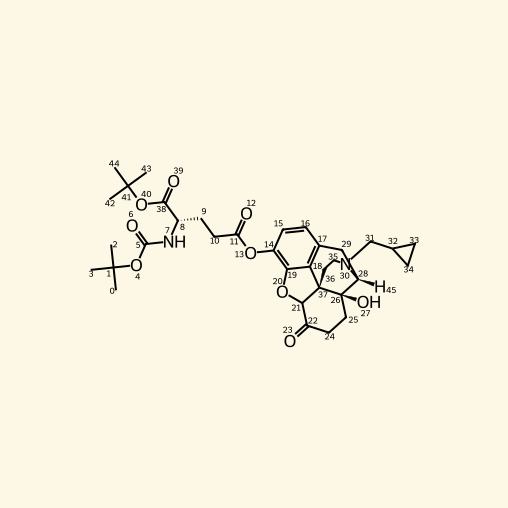 CC(C)(C)OC(=O)N[C@@H](CCC(=O)Oc1ccc2c3c1OC1C(=O)CC[C@@]4(O)[C@@H](C2)N(CC2CC2)CC[C@]314)C(=O)OC(C)(C)C